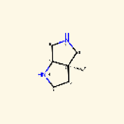 C[C@]12CCNC1CNC2